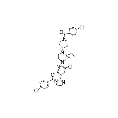 CC[C@H]1CN(c2ncc(C3=NCCN3C(=O)c3ccc(Cl)cc3)cc2Cl)CCN1C1CCN(C(=O)c2ccc(Cl)cc2)CC1